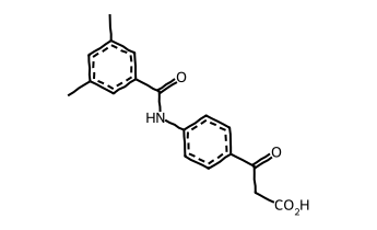 Cc1cc(C)cc(C(=O)Nc2ccc(C(=O)CC(=O)O)cc2)c1